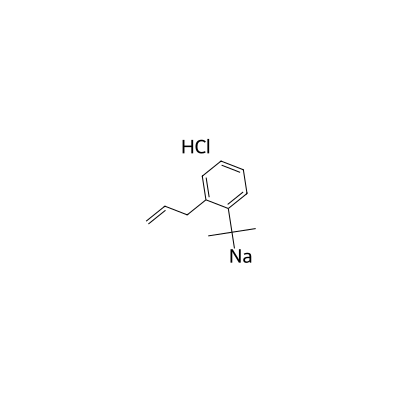 C=CCc1ccccc1[C](C)(C)[Na].Cl